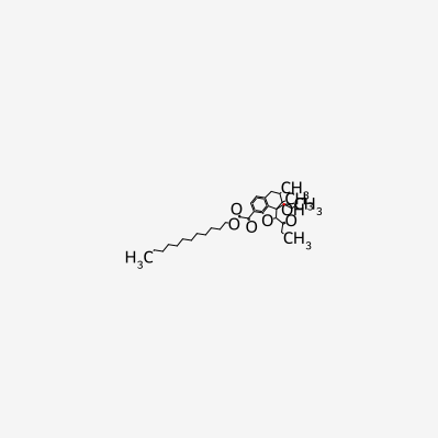 CCCCCCCCCCCCOC(=O)C(=O)c1ccc2c3c1OC(C(=O)CC)C3(CCC)C(C)(O)C(C)C2